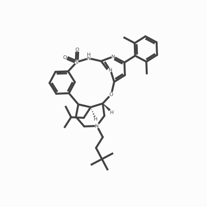 Cc1cccc(C)c1-c1cc2nc(n1)NS(=O)(=O)c1cccc(c1)C1CCN(CCC(C)(C)C)C[C@@H](O2)[C@H]1CC(C)C